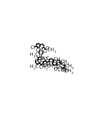 CC[C@@H](C(=O)[C@@H](C)[C@@H](O)[C@H](C)[C@@H]1O[C@@H]([C@@H](CC)C(=O)N2CCN(CC(/C=C\c3ccc(Cl)c(Cl)c3)C(=O)OC)CC2)CC[C@@H]1C)[C@H]1O[C@]2(C=C[C@@H](OC(C)=O)[C@]3(CC[C@@](C)([C@H]4CC[C@](O)(CC)[C@H](C)O4)O3)O2)[C@H](C)C[C@@H]1C